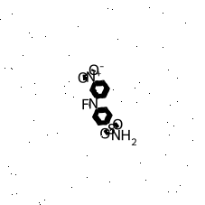 NS(=O)(=O)c1ccc(N(F)c2cccc([N+](=O)[O-])c2)cc1